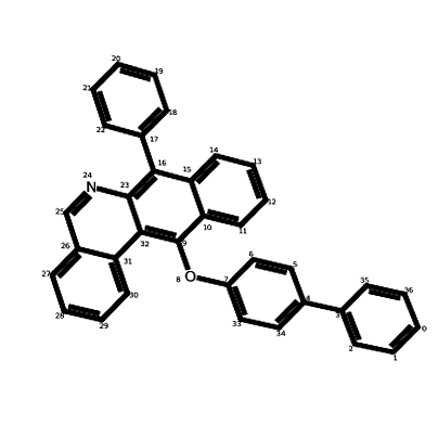 c1ccc(-c2ccc(Oc3c4ccccc4c(-c4ccccc4)c4ncc5ccccc5c34)cc2)cc1